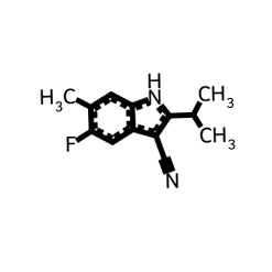 Cc1cc2[nH]c(C(C)C)c(C#N)c2cc1F